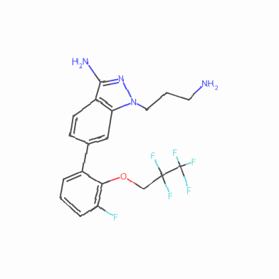 NCCCn1nc(N)c2ccc(-c3cccc(F)c3OCC(F)(F)C(F)(F)F)cc21